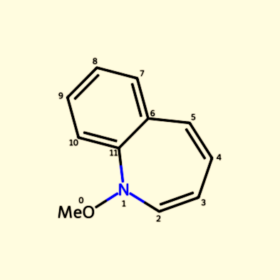 CON1C=CC=Cc2ccccc21